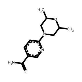 CC1CN(c2ccc(C(N)=O)cn2)CC(C)O1